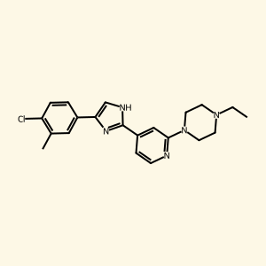 CCN1CCN(c2cc(-c3nc(-c4ccc(Cl)c(C)c4)c[nH]3)ccn2)CC1